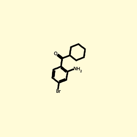 Nc1cc(Br)ccc1C(=O)C1CCCCC1